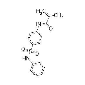 C=C(C)C(=O)Nc1ccc(S(=O)(=O)Nc2ccccc2)cc1